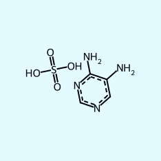 Nc1cncnc1N.O=S(=O)(O)O